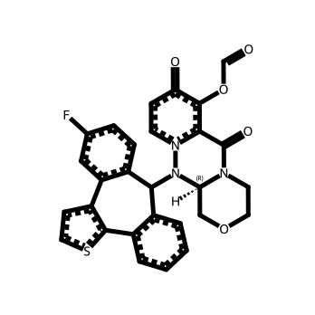 O=COc1c2n(ccc1=O)N(C1c3ccc(F)cc3-c3ccsc3-c3ccccc31)[C@@H]1COCCN1C2=O